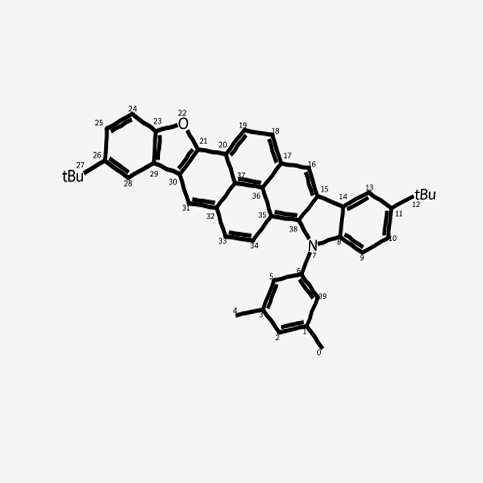 Cc1cc(C)cc(-n2c3ccc(C(C)(C)C)cc3c3cc4ccc5c6oc7ccc(C(C)(C)C)cc7c6cc6ccc(c4c65)c32)c1